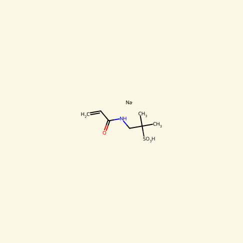 C=CC(=O)NCC(C)(C)S(=O)(=O)O.[Na]